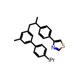 Cc1cc(CC(C)c2ccc(-c3cscn3)cc2)cc(-c2ccc(C(C)C)cc2)c1